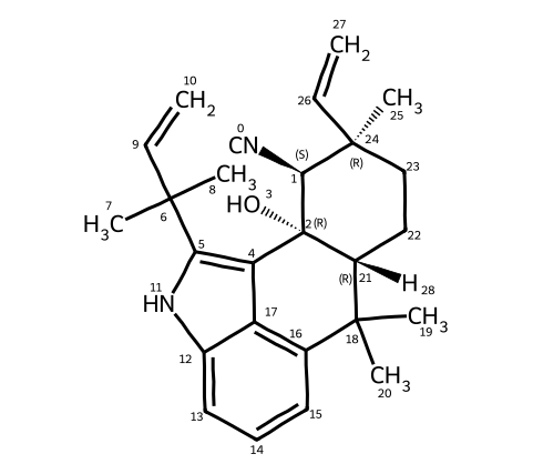 [C-]#[N+][C@@H]1[C@]2(O)c3c(C(C)(C)C=C)[nH]c4cccc(c34)C(C)(C)[C@H]2CC[C@]1(C)C=C